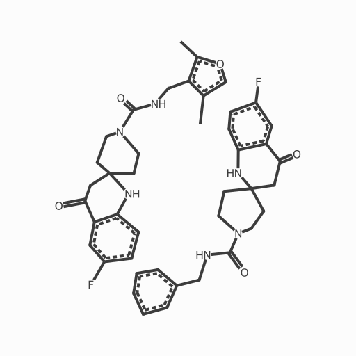 Cc1coc(C)c1CNC(=O)N1CCC2(CC1)CC(=O)c1cc(F)ccc1N2.O=C1CC2(CCN(C(=O)NCc3ccccc3)CC2)Nc2ccc(F)cc21